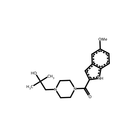 COc1ccc2[nH]c(C(=O)N3CCN(CC(C)(C)O)CC3)cc2c1